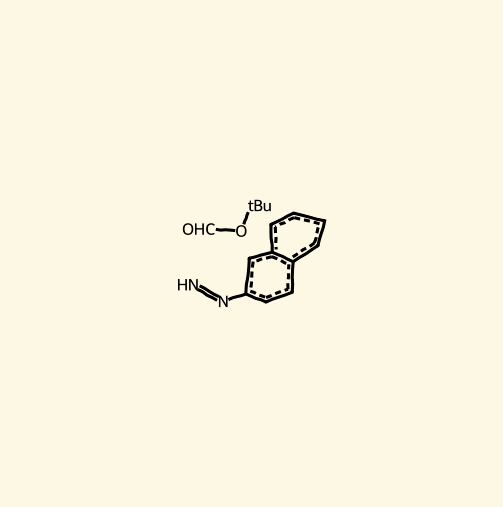 CC(C)(C)OC=O.N=Nc1ccc2ccccc2c1